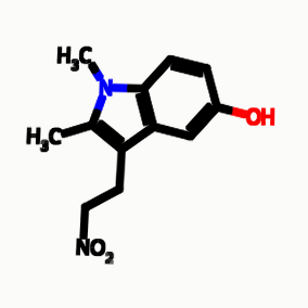 Cc1c(CC[N+](=O)[O-])c2cc(O)ccc2n1C